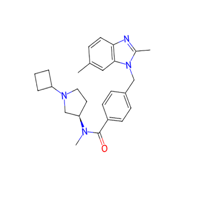 Cc1ccc2nc(C)n(Cc3ccc(C(=O)N(C)[C@@H]4CCN(C5CCC5)C4)cc3)c2c1